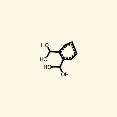 OC(O)c1c[c]ccc1C(O)O